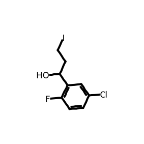 OC(CCI)c1cc(Cl)ccc1F